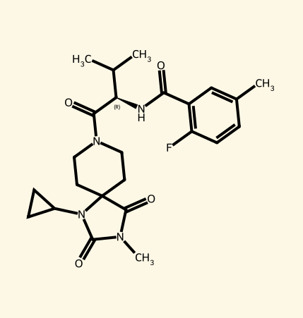 Cc1ccc(F)c(C(=O)N[C@@H](C(=O)N2CCC3(CC2)C(=O)N(C)C(=O)N3C2CC2)C(C)C)c1